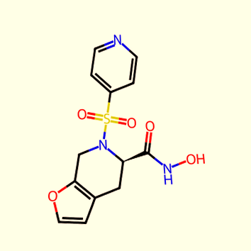 O=C(NO)[C@H]1Cc2ccoc2CN1S(=O)(=O)c1ccncc1